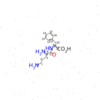 NCCC[C@H](N)C(=O)N[C@@H](Cc1ccccc1)C(=O)O